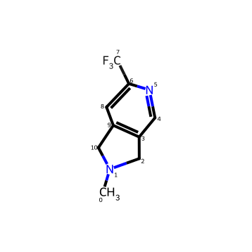 CN1Cc2cnc(C(F)(F)F)cc2C1